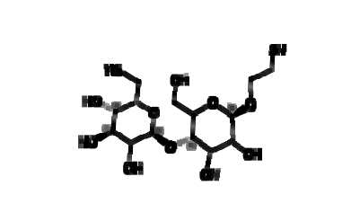 OCC1O[C@@H](OCCS)C(O)C(O)[C@@H]1O[C@@H]1OC(CS)[C@@H](O)[C@H](O)C1O